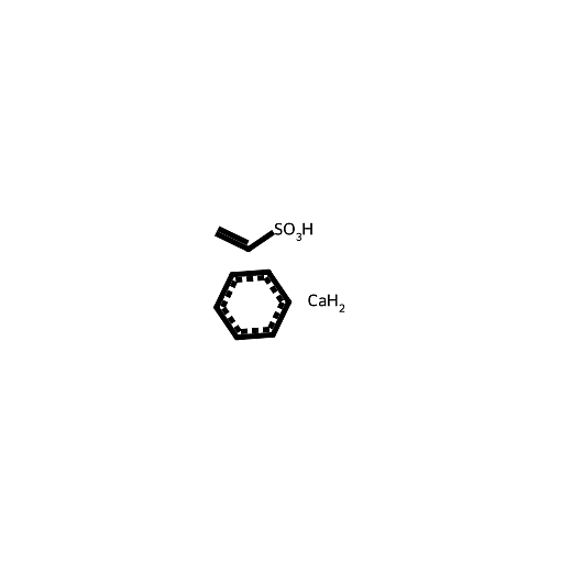 C=CS(=O)(=O)O.[CaH2].c1ccccc1